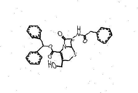 O=C(Cc1ccccc1)N[C@@H]1C(=O)N2C(C(=O)OC(c3ccccc3)c3ccccc3)=C(CO)CSC12